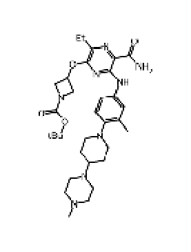 CCc1nc(C(N)=O)c(Nc2ccc(N3CCC(N4CCN(C)CC4)CC3)c(C)c2)nc1OC1CN(C(=O)OC(C)(C)C)C1